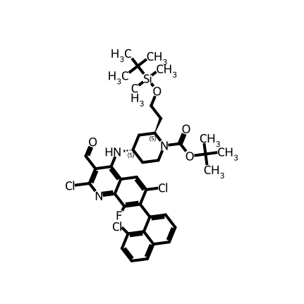 CC(C)(C)OC(=O)N1CC[C@H](Nc2c(C=O)c(Cl)nc3c(F)c(-c4cccc5cccc(Cl)c45)c(Cl)cc23)C[C@H]1CCO[Si](C)(C)C(C)(C)C